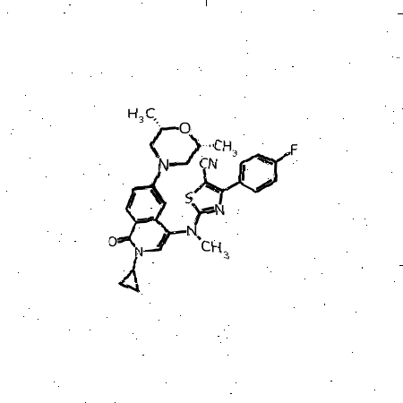 C[C@@H]1CN(c2ccc3c(=O)n(C4CC4)cc(N(C)c4nc(-c5ccc(F)cc5)c(C#N)s4)c3c2)C[C@H](C)O1